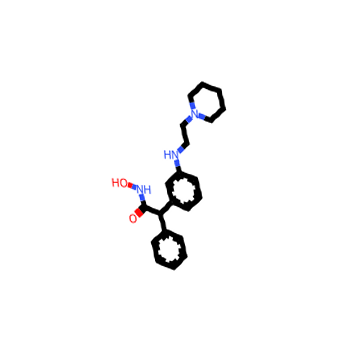 O=C(NO)C(c1ccccc1)c1cccc(NCCN2CCCCC2)c1